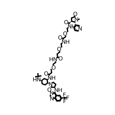 CN1C(=O)C[C@H](C(=O)NCCOCC(=O)NCCOCCC(=O)NCCOCCC(=O)N[C@@H]2C[C@H](NC(C)(C)C)CC[C@@H]2N2CC[C@H](Nc3ncnc4ccc(C(F)(F)F)cc34)C2=O)[C@H]1c1cccnc1